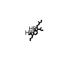 C=C/C=C1\C(=C)Bc2c1ccc1c2BC(=C/C=C(\C)C=C)/C1=C(\C)C=C